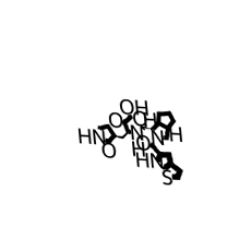 O=C1NCC[C@H]1C[C@H](NC(=O)[C@@H]1[C@H]2CCC[C@H]2CN1C(=O)c1cc2ccsc2[nH]1)C(=O)CO